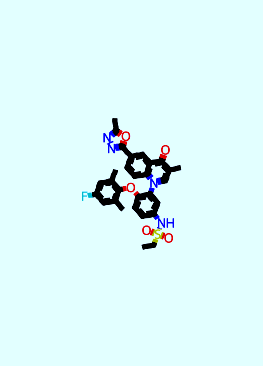 CCS(=O)(=O)Nc1ccc(Oc2c(C)cc(F)cc2C)c(-n2cc(C)c(=O)c3cc(-c4nnc(C)o4)ccc32)c1